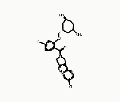 CC1CCC(=N)C[C@@H](COc2cc(F)ccc2C(=O)N2Cc3nn4cc(Cl)cnc4c3C2)C1